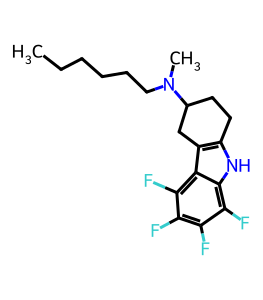 CCCCCCN(C)C1CCc2[nH]c3c(F)c(F)c(F)c(F)c3c2C1